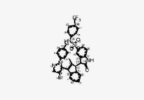 CC1=C(c2c(Br)cnn2-c2ccc(Cl)cc2)c2ccccc2C1C1C(=O)Nc2ccc(S(=O)(=O)Nc3ccc(C(F)(F)F)cc3)cc21